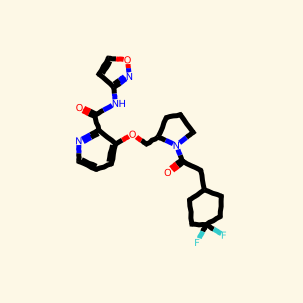 O=C(Nc1ccon1)c1ncccc1OCC1CCCN1C(=O)CC1CCC(F)(F)CC1